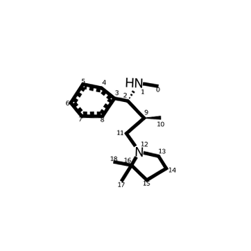 CN[C@@H](c1ccccc1)[C@@H](C)CN1CCCC1(C)C